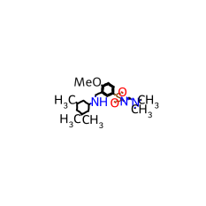 COc1ccc(S(=O)(=O)N=CN(C)C)cc1CNC1CC(C)CC(C)(C)C1